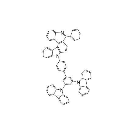 c1ccc(-c2nc3ccccc3c3c2ccc2c3c3ccccc3n2-c2ccc(-c3cc(-n4c5ccccc5c5ccccc54)cc(-n4c5ccccc5c5ccccc54)c3)cc2)cc1